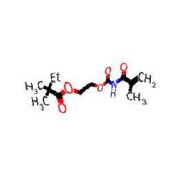 C=C(C)C(=O)NC(=O)OCCOC(=O)C(C)(C)CC